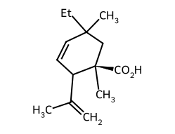 C=C(C)C1C=CC(C)(CC)C[C@@]1(C)C(=O)O